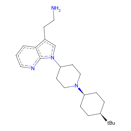 CC(C)(C)[C@H]1CC[C@@H](N2CCC(n3cc(CCN)c4cccnc43)CC2)CC1